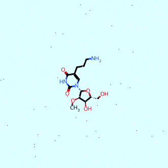 CO[C@@H]1[C@H](O)[C@@H](CO)O[C@H]1n1cc(CCCN)c(=O)[nH]c1=O